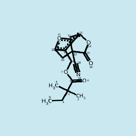 CCC(C)(C)C(=O)OCc1c2oc3c1OC(=O)C3(C#N)C2